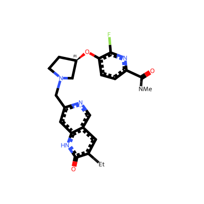 CCc1cc2cnc(CN3CC[C@@H](Oc4ccc(C(=O)NC)nc4F)C3)cc2[nH]c1=O